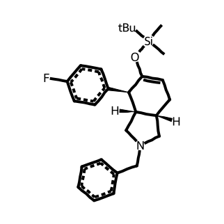 CC(C)(C)[Si](C)(C)OC1=CC[C@@H]2CN(Cc3ccccc3)C[C@@H]2[C@H]1c1ccc(F)cc1